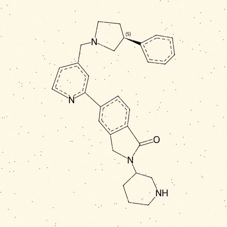 O=C1c2ccc(-c3cc(CN4CC[C@@H](c5ccccc5)C4)ccn3)cc2CN1C1CCCNC1